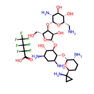 NC[C@@H]1O[C@H](O[C@H]2[C@@H](O)[C@H](O[C@@H]3[C@@H](O)[C@H](N)C[C@H](N)[C@H]3O[C@H]3O[C@H](C4(N)CC4)CC[C@H]3N)O[C@@H]2CO)[C@H](N)[C@@H](O)[C@@H]1O.O=C(O)C(F)(F)C(F)(F)C(F)(F)F